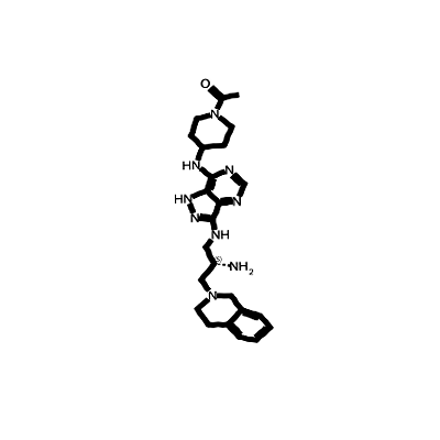 CC(=O)N1CCC(Nc2ncnc3c(NC[C@H](N)CN4CCc5ccccc5C4)n[nH]c23)CC1